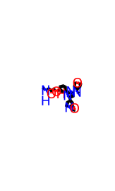 CNCC(O)COc1cccc(-c2nc(-c3ccnc(OC)c3)cc(N(C)C3CCOCC3)n2)c1